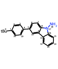 CC(C)(C)c1ccc(-c2ccc3c(c2)c2ccccc2n3N)cc1